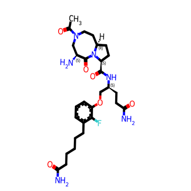 CC(=O)N1CC[C@H]2CC[C@@H](C(=O)N[C@@H](CCC(N)=O)COc3cccc(CCCCCC(N)=O)c3F)N2C(=O)[C@@H](N)C1